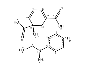 CCN(N)c1ccccc1.C[C@@]1(C(=O)O)C=CC=C(C(=O)O)C1.I